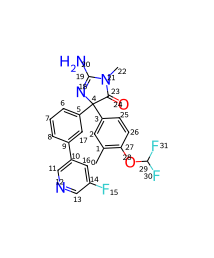 Cc1cc(C2(c3cccc(-c4cncc(F)c4)c3)N=C(N)N(C)C2=O)ccc1OC(F)F